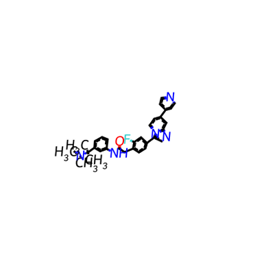 CN(C)C(C)(C)c1cccc(NC(=O)Cc2ccc(-c3cnc4cc(-c5ccncc5)ccn34)cc2F)c1